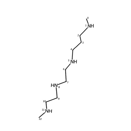 CNCCCNCCNCCNC